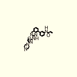 C=CC(=O)Nc1cccc(-c2cccc3cnc(Nc4nc(N5CCN(C)CC5)co4)nc23)c1